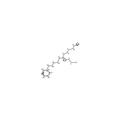 CCCOC(CCCCC[O])CCCCCc1cccnc1